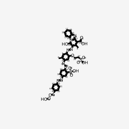 Cc1cc(N=Nc2c(C)c(C(=O)O)c3nc4ccccc4n3c2O)c(OCCS(=O)(=O)O)cc1N=Nc1ccc(N=Nc2ccc(SOOO)cc2)cc1S(=O)(=O)O